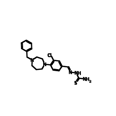 NC(=S)NN=Cc1ccc(N2CCCN(Cc3ccccc3)CC2)c(Cl)c1